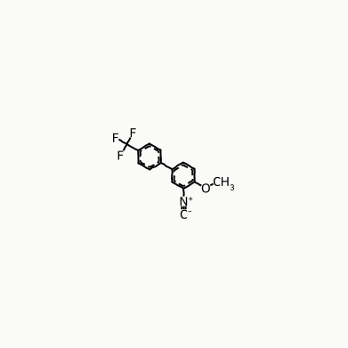 [C-]#[N+]c1cc(-c2ccc(C(F)(F)F)cc2)ccc1OC